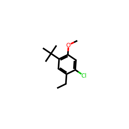 CCc1cc(C(C)(C)C)c(OC)cc1Cl